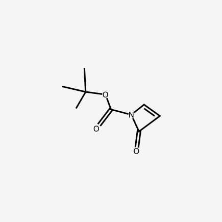 CC(C)(C)OC(=O)N1C=CC1=O